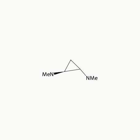 CNC1C[C@@H]1NC